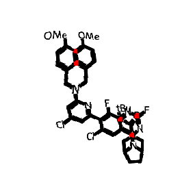 COc1ccc(CN(Cc2ccc(OC)cc2)c2cc(Cl)cc(-c3c(Cl)cc4c(N5C6CCC5CN(C(=O)OC(C)(C)C)C6)nc(F)nc4c3F)n2)cc1